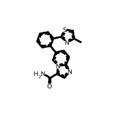 Cc1csc(-c2ccccc2-c2ccc3ncc(C(N)=O)n3c2)n1